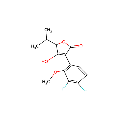 COc1c(C2=C(O)C(C(C)C)OC2=O)ccc(F)c1F